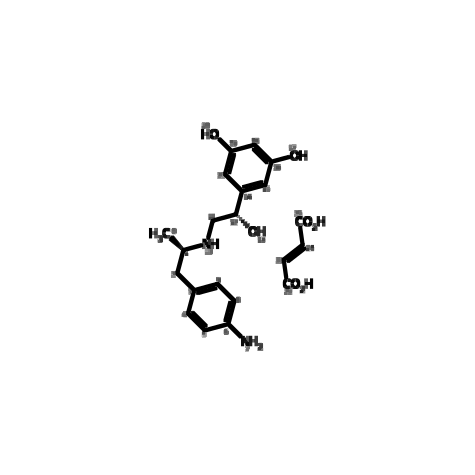 C[C@H](Cc1ccc(N)cc1)NC[C@@H](O)c1cc(O)cc(O)c1.O=C(O)C=CC(=O)O